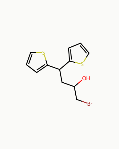 OC(CBr)CC(c1cccs1)c1cccs1